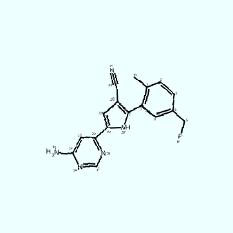 Cc1ccc(CF)cc1-c1[nH]c(-c2cc(N)ncn2)cc1C#N